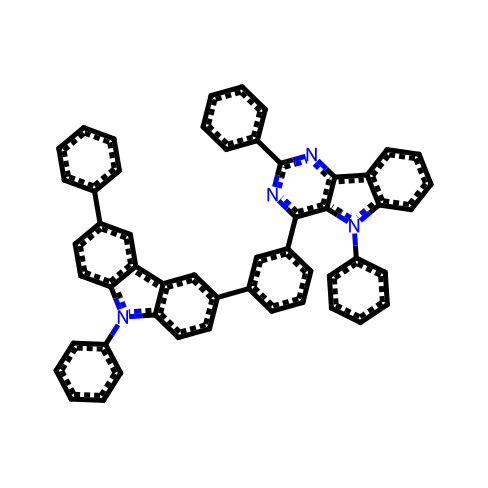 c1ccc(-c2ccc3c(c2)c2cc(-c4cccc(-c5nc(-c6ccccc6)nc6c7ccccc7n(-c7ccccc7)c56)c4)ccc2n3-c2ccccc2)cc1